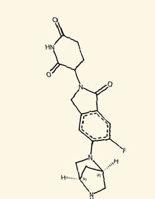 O=C1CCC(N2Cc3cc(N4C[C@H]5C[C@@H]4CN5)c(F)cc3C2=O)C(=O)N1